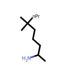 CCCC(C)(C)CCCC(C)N